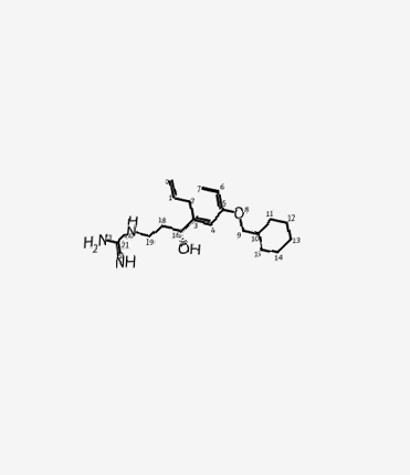 C=CC/C(=C\C(=C/C)OCC1CCCCC1)[C@H](O)CCNC(=N)N